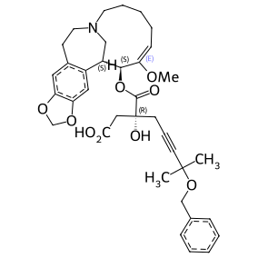 CO/C1=C/CCCCN2CCc3cc4c(cc3[C@@H](C2)[C@@H]1OC(=O)[C@@](O)(CC#CC(C)(C)OCc1ccccc1)CC(=O)O)OCO4